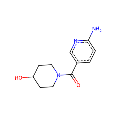 Nc1ccc(C(=O)N2CCC(O)CC2)cn1